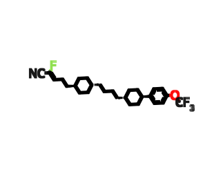 N#C/C(F)=C/CC[C@H]1CC[C@H](CCCC[C@H]2CC[C@H](c3ccc(OC(F)(F)F)cc3)CC2)CC1